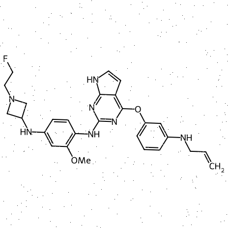 C=CCNc1cccc(Oc2nc(Nc3ccc(NC4CN(CCF)C4)cc3OC)nc3[nH]ccc23)c1